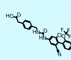 N#Cc1cc(NC(=O)NCc2ccc(CC(=O)O)cc2)cc(Cl)c1-c1ccccc1OC(F)(F)F